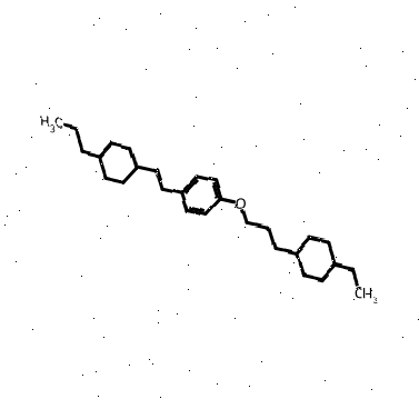 CCCC1CCC(CCc2ccc(OCCCC3CCC(CC)CC3)cc2)CC1